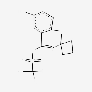 Cc1ccc2c(c1)C(OS(=O)(=O)C(F)(F)F)=CC1(CCC1)O2